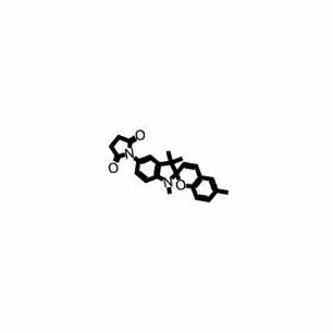 Cc1ccc2c(c1)C=CC1(O2)N(C)c2ccc(N3C(=O)CCC3=O)cc2C1(C)C